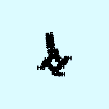 Oc1cccc(-c2c3nc(c(-c4c(F)c(F)c(OCC(F)(F)C(F)(F)C(F)(F)C(F)(F)C(F)(F)C(F)F)c(F)c4F)c4ccc([nH]4)c(-c4cccc(O)c4)c4nc(c(-c5cccc(O)c5)c5ccc2[nH]5)CC4)C=C3)c1